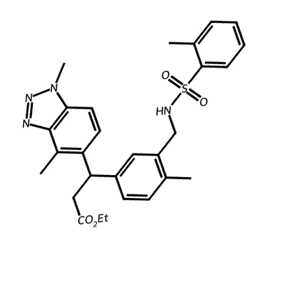 CCOC(=O)CC(c1ccc(C)c(CNS(=O)(=O)c2ccccc2C)c1)c1ccc2c(nnn2C)c1C